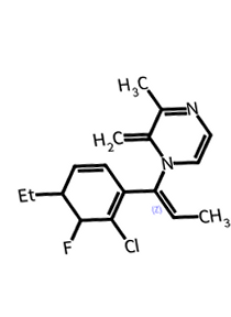 C=C1C(C)=NC=CN1/C(=C\C)C1=C(Cl)C(F)C(CC)C=C1